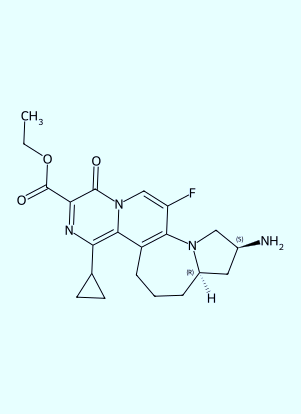 CCOC(=O)c1nc(C2CC2)c2c3c(c(F)cn2c1=O)N1C[C@@H](N)C[C@H]1CCC3